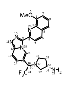 COc1cccc2ccc(-c3nnc4ccc([C@@H](N5CC[C@H](N)C5)C(F)(F)F)cn34)nc12